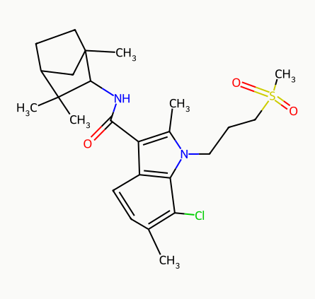 Cc1ccc2c(C(=O)NC3C4(C)CCC(C4)C3(C)C)c(C)n(CCCS(C)(=O)=O)c2c1Cl